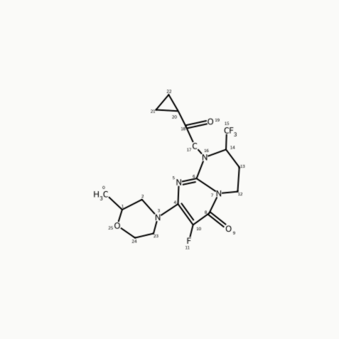 CC1CN(c2nc3n(c(=O)c2F)CCC(C(F)(F)F)N3CC(=O)C2CC2)CCO1